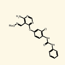 CO/N=C/c1c(N)ncnc1Oc1ccc(NC(=O)Nc2ccccc2)c(Cl)c1